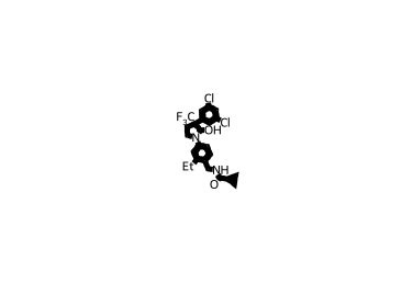 CCc1cc(N2CCC(c3cc(Cl)cc(Cl)c3)(C(F)(F)F)C2O)ccc1CNC(=O)C1CC1